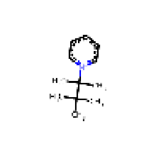 CC(C)(C)C(C)(C)[n+]1ccccc1